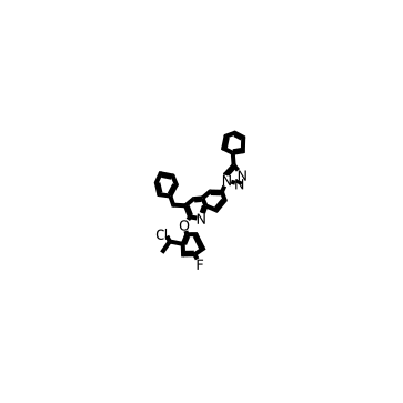 CC(Cl)c1cc(F)ccc1Oc1nc2ccc(-n3cc(-c4ccccc4)nn3)cc2cc1Cc1ccccc1